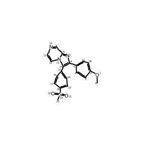 COc1ccc(-c2nc3cnccn3c2-c2ccc(S(C)(=O)=O)cc2)cc1